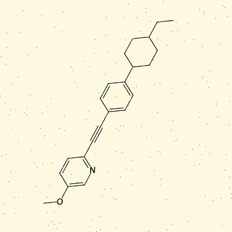 CCC1CCC(c2ccc(C#Cc3ccc(OC)cn3)cc2)CC1